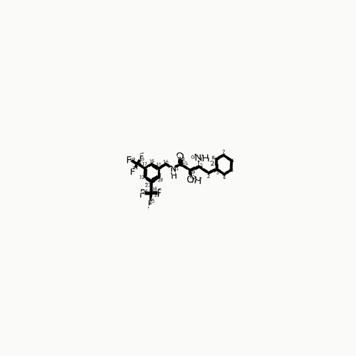 N[C@H](CC1CCCCC1)C(O)C(=O)NCc1cc(C(F)(F)F)cc(C(F)(F)F)c1